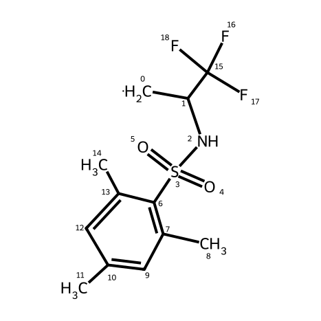 [CH2]C(NS(=O)(=O)c1c(C)cc(C)cc1C)C(F)(F)F